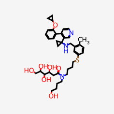 Cc1ccc(SCCCCN(CCCCO)C(=O)CC(O)C(O)C(O)CO)cc1CNC1(c2cnccc2-c2ccccc2OC2CC2)CC1